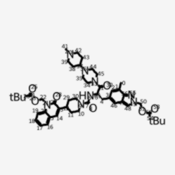 Cc1cc(C[C@@H](NC(=O)N2CCC(c3cc4ccccc4n(COC(=O)C(C)(C)C)c3=O)CC2)C(=O)N2CCN(C3CCN(C)CC3)CC2)cc2cn(COC(=O)C(C)(C)C)nc12